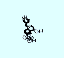 O=S(=O)(O)c1ccc2c(c1)C(O)CCN2Cc1ccnnc1